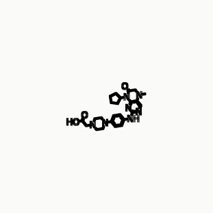 CN1CC(=O)N(C2CCCC2)c2nc(Nc3ccc(N4CCN(CC(=O)O)CC4)cc3)ncc21